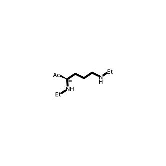 CCNCCC[C@@H](NCC)C(C)=O